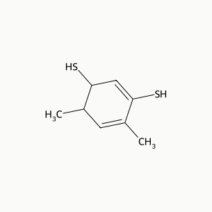 CC1=CC(C)C(S)C=C1S